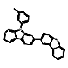 Cc1cccc(-n2c3ccccc3c3ccc(-c4ccc5oc6ccccc6c5c4)cc32)c1